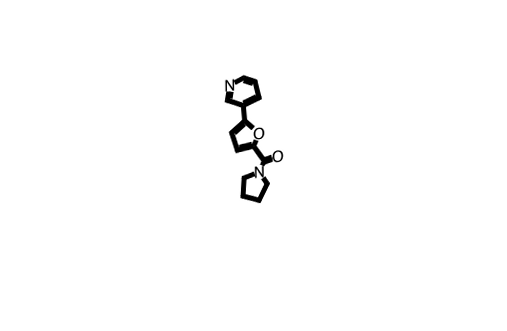 O=C(c1ccc(-c2cccnc2)o1)N1CCCC1